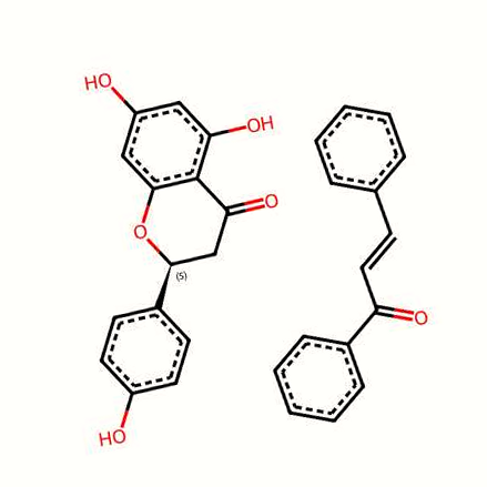 O=C(C=Cc1ccccc1)c1ccccc1.O=C1C[C@@H](c2ccc(O)cc2)Oc2cc(O)cc(O)c21